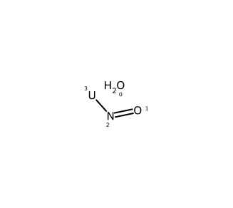 O.O=[N][U]